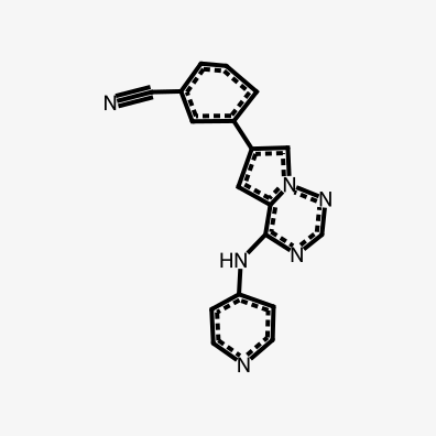 N#Cc1cccc(-c2cc3c(Nc4ccncc4)ncnn3c2)c1